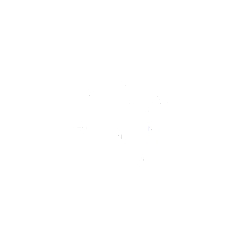 Nc1nc(N)c2cccc(O)c2n1